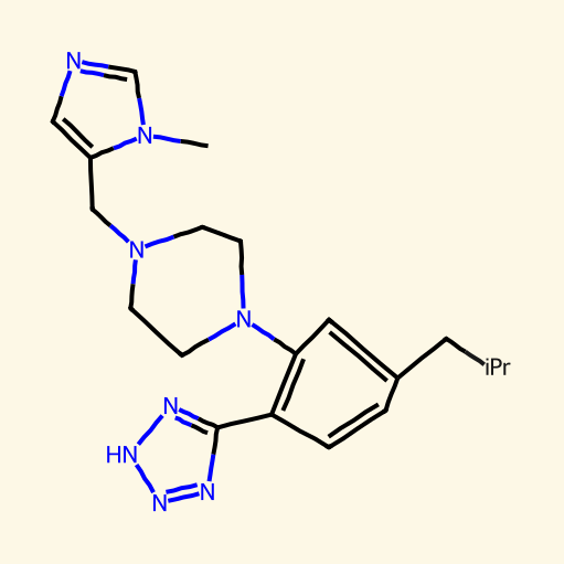 CC(C)Cc1ccc(-c2nn[nH]n2)c(N2CCN(Cc3cncn3C)CC2)c1